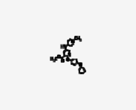 COC(=O)c1cc(NC2CCN(C)CC2)cnc1Oc1ccc(Oc2ccccc2)cc1